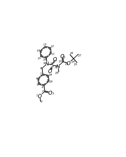 COC(=O)c1ccc(CN(c2ccccc2)S(=O)(=O)N(C)C(=O)OC(C)(C)C)cc1